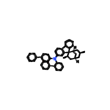 C[C@H]1C[C@@H]2C[C@H](C1)C1(c3ccccc3-c3ccc(N(c4ccc(-c5ccccc5)cc4)c4ccccc4-c4ccccc4)cc31)[C@H](C)C2